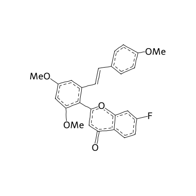 COc1ccc(C=Cc2cc(OC)cc(OC)c2-c2cc(=O)c3ccc(F)cc3o2)cc1